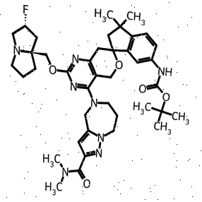 CN(C)C(=O)c1cc2n(n1)CCCN(c1nc(OC[C@@]34CCCN3C[C@H](F)C4)nc3c1COC1(C3)CC(C)(C)c3ccc(NC(=O)OC(C)(C)C)cc31)C2